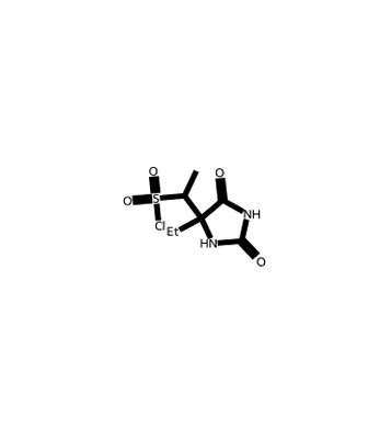 CCC1(C(C)S(=O)(=O)Cl)NC(=O)NC1=O